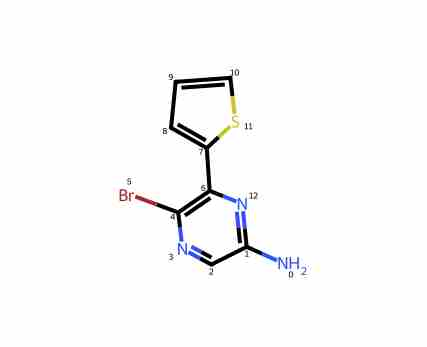 Nc1cnc(Br)c(-c2cccs2)n1